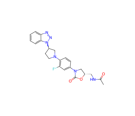 CC(=O)NC[C@H]1CN(c2ccc(N3CC[C@@H](n4nnc5ccccc54)C3)c(F)c2)C(=O)O1